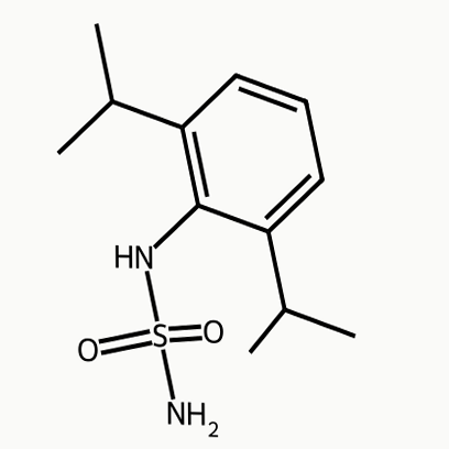 CC(C)c1cccc(C(C)C)c1NS(N)(=O)=O